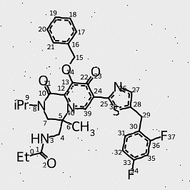 CCC(=O)NCC1(C)CN(C(C)C)C(=O)c2c(OCc3ccccc3)c(=O)c(-c3ncc(Cc4ccc(F)cc4F)s3)cn21